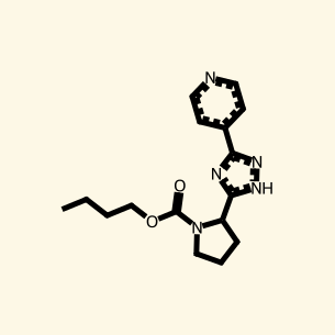 CCCCOC(=O)N1CCCC1c1nc(-c2ccncc2)n[nH]1